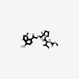 Bc1ccc(C(=O)COC(=O)[C@]2(C)CCCN2C(=O)[C@@H](NC(=O)OC)C(C)C)c2c1ccn2C